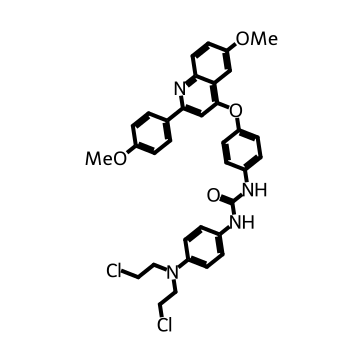 COc1ccc(-c2cc(Oc3ccc(NC(=O)Nc4ccc(N(CCCl)CCCl)cc4)cc3)c3cc(OC)ccc3n2)cc1